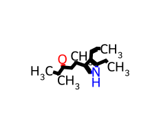 C/C=C\c1c(C(C)CC(=O)C(C)C)c[nH]c1CC